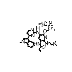 C=CC(=O)Nc1cc(Nc2nccc(-c3cn(C)c4ccccc34)n2)c(OCC(F)(F)F)nc1N(C)CCN(C)C.CS(=O)(=O)O